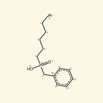 CC(C)CCCCCP(=O)(O)Cc1ccccc1